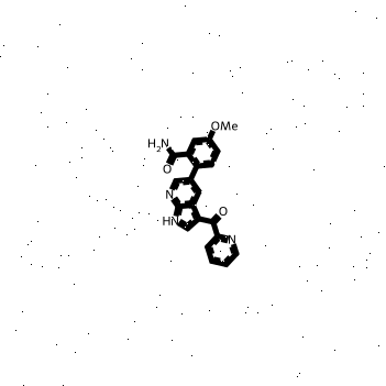 COc1ccc(-c2cnc3[nH]cc(C(=O)c4ccccn4)c3c2)c(C(N)=O)c1